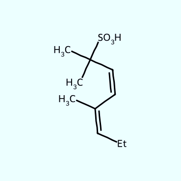 CC/C=C(C)\C=C/C(C)(C)S(=O)(=O)O